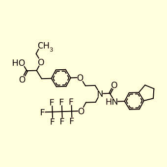 CCOC(Cc1ccc(OCCN(CCOC(F)(F)C(F)(F)C(F)(F)F)C(=O)Nc2ccc3c(c2)CCC3)cc1)C(=O)O